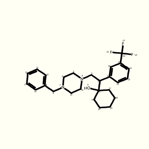 OC1(C(CN2CCN(Cc3ccccc3)CC2)c2cccc(C(F)(F)F)c2)CCCCC1